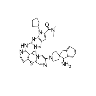 CN(C)C(=O)c1cc2cnc(Nc3nccc(Sc4cnc(N5CCC6(CC5)Cc5ccccc5[C@H]6N)cn4)c3Cl)nc2n1C1CCCC1